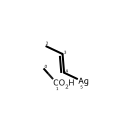 CC(=O)O.CC=[CH][Ag]